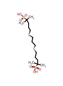 CC(C)(CCCSCCCSCCCC(C)(C)S(=O)(=O)O)S(=O)(=O)O